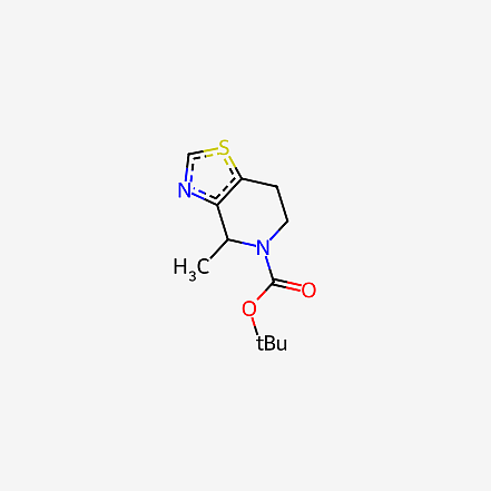 CC1c2ncsc2CCN1C(=O)OC(C)(C)C